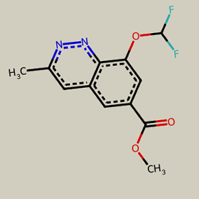 COC(=O)c1cc(OC(F)F)c2nnc(C)cc2c1